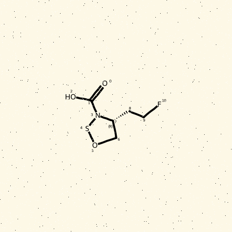 O=C(O)N1SOC[C@H]1CCF